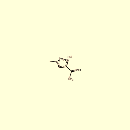 Cl.Cn1cc(C(=N)N)nn1